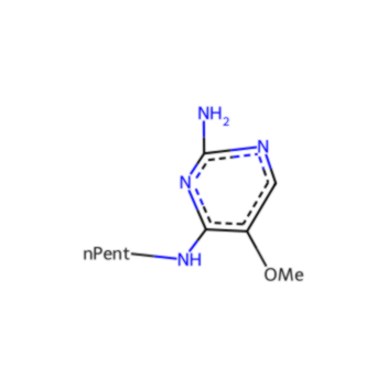 CCCCCNc1nc(N)ncc1OC